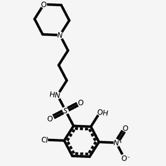 O=[N+]([O-])c1ccc(Cl)c(S(=O)(=O)NCCCN2CCOCC2)c1O